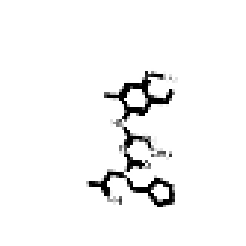 C/C=C1/C=C(N/C(=N/C(=O)N(CC(C)=N)CC2CCCC2)NC=O)C(C)=C/C1=N/C(C)CC